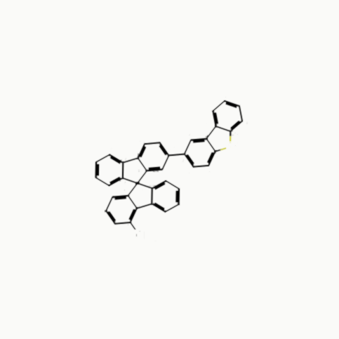 Cc1cccc2c1-c1ccccc1C21c2ccccc2-c2ccc(-c3ccc4sc5ccccc5c4c3)cc21